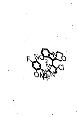 COc1cc(F)c([N+](=O)[O-])cc1Nc1ncc(Cl)c(-c2c3n(c4ccccc24)CCOC3)n1